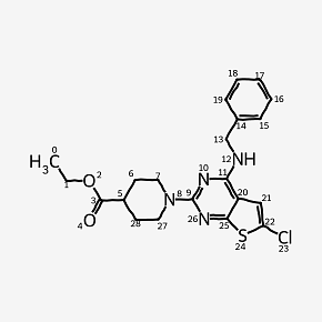 CCOC(=O)C1CCN(c2nc(NCc3ccccc3)c3cc(Cl)sc3n2)CC1